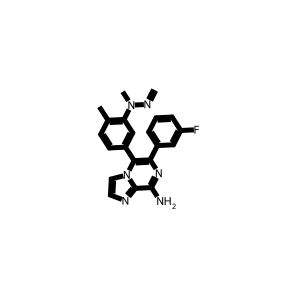 C=NN(C)c1cc(-c2c(-c3cccc(F)c3)nc(N)c3nccn23)ccc1C